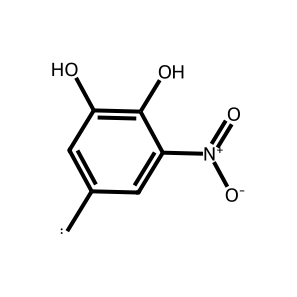 [CH]c1cc(O)c(O)c([N+](=O)[O-])c1